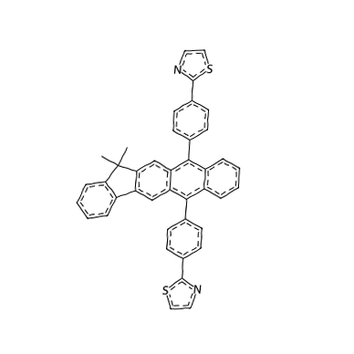 CC1(C)c2ccccc2-c2cc3c(-c4ccc(-c5nccs5)cc4)c4ccccc4c(-c4ccc(-c5nccs5)cc4)c3cc21